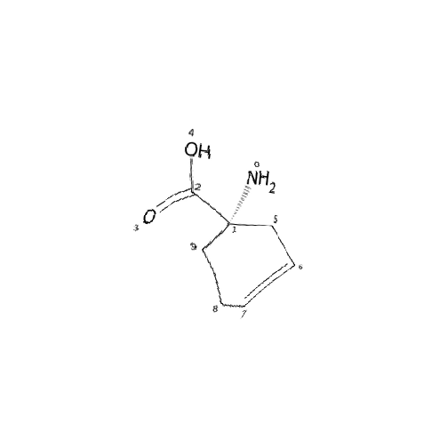 N[C@]1(C(=O)O)CC=CCC1